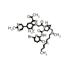 CC/C=C/CCCCN(C)C[C@@]12C[C@@H](C(=O)Nc3nc(Br)ccc3C)N(C(=O)Cn3nc(C(C)=O)c4cc(-c5cnc(C)nc5)cc(C)c43)[C@@H]1C2